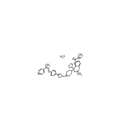 CNC(=O)O[C@H]1CCCC1C1(C2CCN(CC3CN(c4ccc(OSN(C)c5ccncc5)cc4)C3)CC2)CN(C)Cc2ccccc21.S